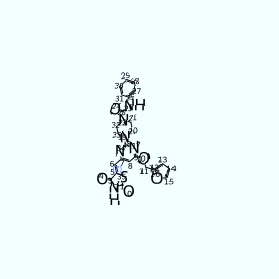 O=C1NC(=O)/C(=C/c2cc(OCc3ccco3)nc(N3CCN(C(=O)Nc4ccccc4)CC3)n2)S1